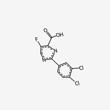 O=C(O)c1nc(-c2ccc(Cl)c(Cl)c2)ncc1F